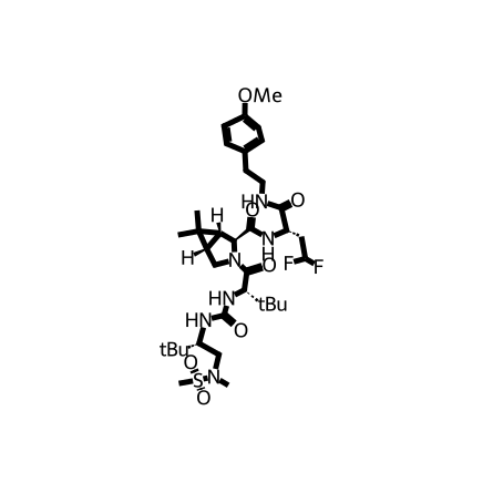 COc1ccc(CCNC(=O)[C@H](CC(F)F)NC(=O)[C@@H]2[C@@H]3[C@H](CN2C(=O)[C@@H](NC(=O)N[C@H](CN(C)S(C)(=O)=O)C(C)(C)C)C(C)(C)C)C3(C)C)cc1